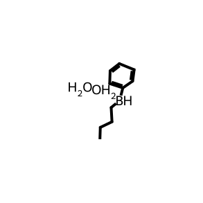 CCCCBc1ccccc1.O.O